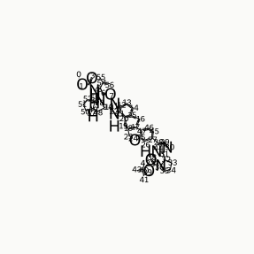 COC(=O)N[C@H](C(=O)N1[C@H](c2nc3ccc4cc5c(cc4c3[nH]2)COc2cc(-c3cnc(C4CCCN4C(=O)OC(C)(C)C)[nH]3)ccc2-5)C[C@@H]2CCC[C@@H]21)C(C)C